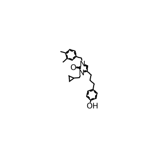 Cc1ccc(Cn2cc(CCCc3ccc(O)cc3)n(CC3CC3)c2=O)cc1C